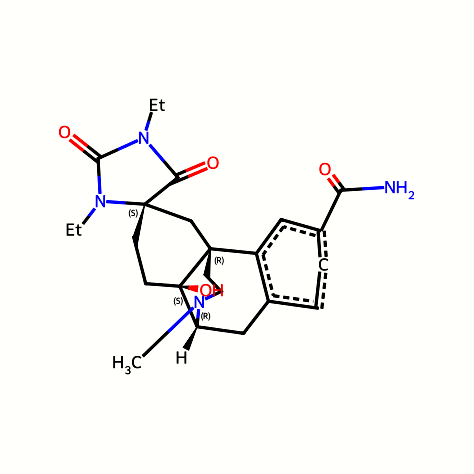 CCN1C(=O)N(CC)[C@]2(CC[C@@]3(O)[C@H]4Cc5ccc(C(N)=O)cc5[C@@]3(CCN4C)C2)C1=O